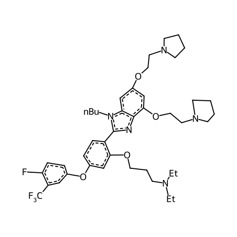 CCCCn1c(-c2ccc(Oc3ccc(F)c(C(F)(F)F)c3)cc2OCCCN(CC)CC)nc2c(OCCN3CCCC3)cc(OCCN3CCCC3)cc21